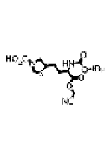 CC(C)(C)OC(=O)NC(CCC1CN(C(=O)O)CS1)C(=O)OCC#N